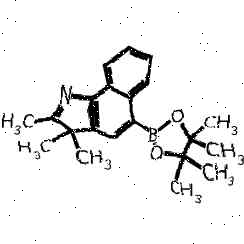 CC1=Nc2c(cc(B3OC(C)(C)C(C)(C)O3)c3ccccc23)C1(C)C